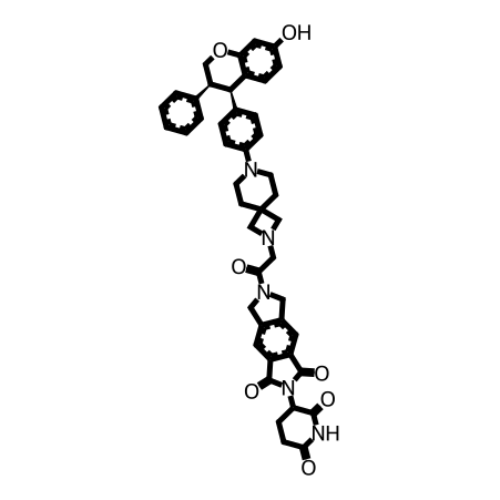 O=C1CCC(N2C(=O)c3cc4c(cc3C2=O)CN(C(=O)CN2CC3(CCN(c5ccc([C@@H]6c7ccc(O)cc7OC[C@@H]6c6ccccc6)cc5)CC3)C2)C4)C(=O)N1